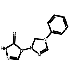 O=c1[nH]ncn1N1CN(c2ccccc2)C=N1